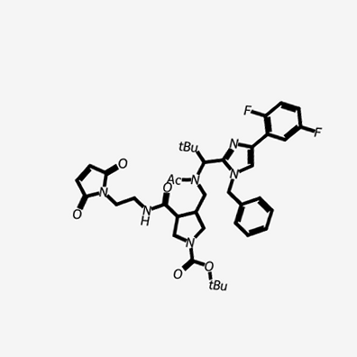 CC(=O)N(CC1CN(C(=O)OC(C)(C)C)CC1C(=O)NCCN1C(=O)C=CC1=O)C(c1nc(-c2cc(F)ccc2F)cn1Cc1ccccc1)C(C)(C)C